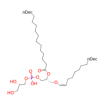 CCCCCCCCCCCCCCCC/C=C\OC[C@H](COP(=O)(O)OC[C@@H](O)CO)OC(=O)CCCCCCCCCCCCCCCCCCCCC